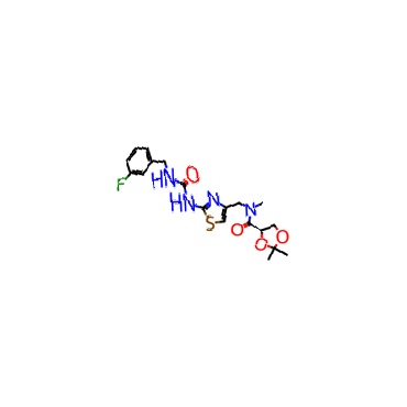 CN(Cc1csc(NC(=O)NCc2cccc(F)c2)n1)C(=O)[C@H]1COC(C)(C)O1